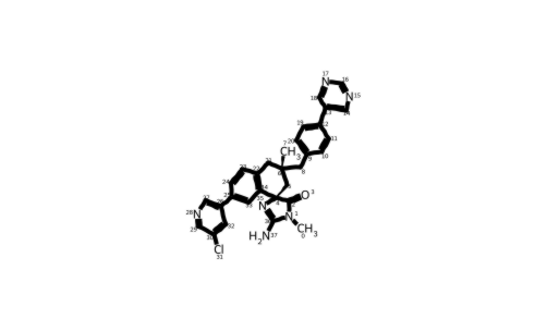 CN1C(=O)[C@]2(C[C@@](C)(Cc3ccc(-c4cncnc4)cc3)Cc3ccc(-c4cncc(Cl)c4)cc32)N=C1N